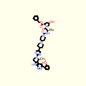 C[C@@H]1c2c([nH]c3nnc(-c4ccccc4O)cc23)CCN1c1ncc(C2CCN(C3CCN(C(=O)N[C@H](C(=O)N4C[C@H](O)C[C@H]4C(=O)OCc4ccccc4)C(C)(C)C)CC3)CC2)cn1